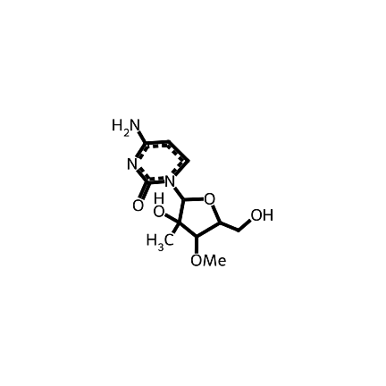 COC1C(CO)OC(n2ccc(N)nc2=O)C1(C)O